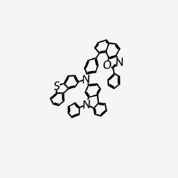 c1ccc(-c2nc3ccc4cccc(-c5ccc(N(c6ccc7sc8ccccc8c7c6)c6ccc7c8ccccc8n(-c8ccccc8)c7c6)cc5)c4c3o2)cc1